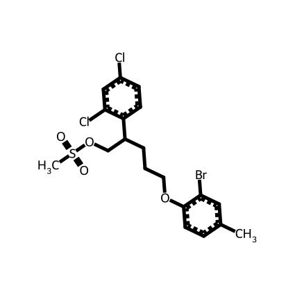 Cc1ccc(OCCCC(COS(C)(=O)=O)c2ccc(Cl)cc2Cl)c(Br)c1